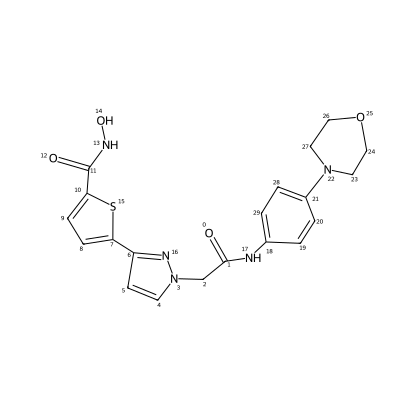 O=C(Cn1ccc(-c2ccc(C(=O)NO)s2)n1)Nc1ccc(N2CCOCC2)cc1